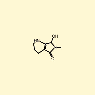 CN1C(=O)C2=C(NCCC2)C1O